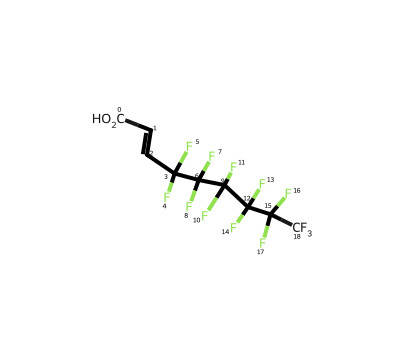 O=C(O)C=CC(F)(F)C(F)(F)C(F)(F)C(F)(F)C(F)(F)C(F)(F)F